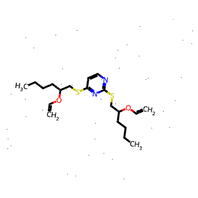 C=COC(CCCC)CSc1ccnc(SCC(CCCC)OC=C)n1